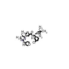 CC/C(=N\C(=N/C)NC1CCOCC1)n1cnc(C(=O)N[C@H](CNCC(C)(C)C)C2C=C(Cl)C=CC2)c1